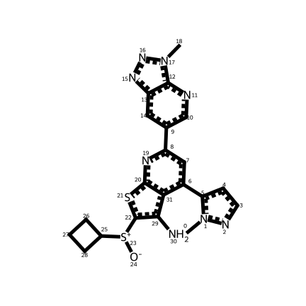 Cn1nccc1-c1cc(-c2cnc3c(c2)nnn3C)nc2sc([S+]([O-])C3CCC3)c(N)c12